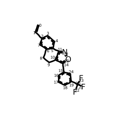 C=Cc1ccc2c(c1)CCc1c-2noc1-c1cccc(C(F)(F)F)c1